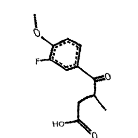 COc1ccc(C(=O)C(C)CC(=O)O)cc1F